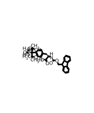 CC(C)(C)C(c1ccc(C[C@@H](NC(=O)OCC2c3ccccc3-c3ccccc32)C(=O)O)cc1)(C(C)(C)C)P(=O)(O)O